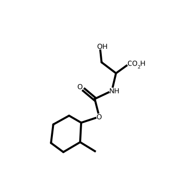 CC1CCCCC1OC(=O)NC(CO)C(=O)O